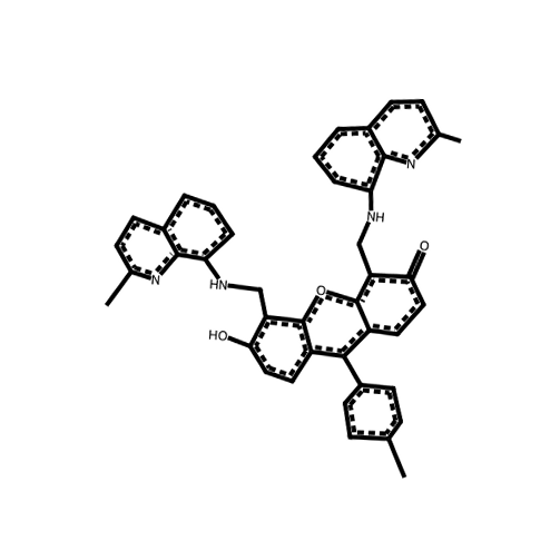 Cc1ccc(-c2c3ccc(=O)c(CNc4cccc5ccc(C)nc45)c-3oc3c(CNc4cccc5ccc(C)nc45)c(O)ccc23)cc1